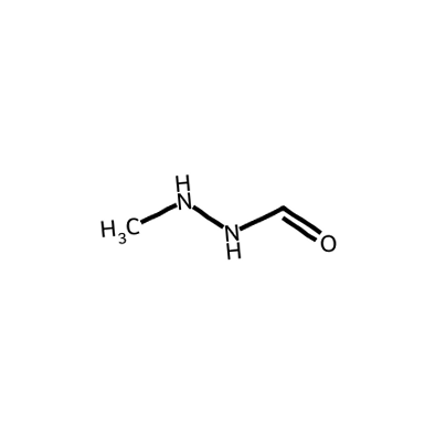 CNNC=O